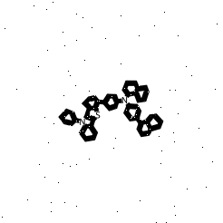 c1ccc(-n2c3ccccc3c3sc4c(-c5ccc(N(c6ccc(-c7cccc8ccccc78)cc6)c6cccc7ccccc67)cc5)cccc4c32)cc1